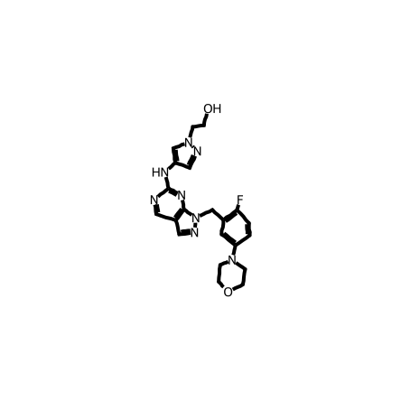 OCCn1cc(Nc2ncc3cnn(Cc4cc(N5CCOCC5)ccc4F)c3n2)cn1